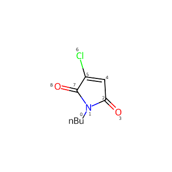 CCCCN1C(=O)C=C(Cl)C1=O